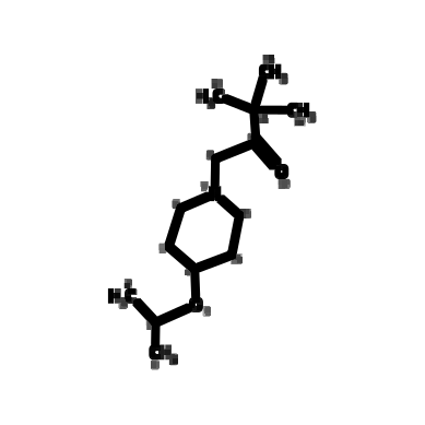 CC(C)OC1CCN(CC(=O)C(C)(C)C)CC1